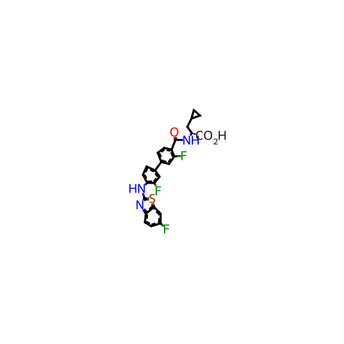 O=C(N[C@@H](CC1CC1)C(=O)O)c1ccc(-c2ccc(Nc3nc4ccc(F)cc4s3)c(F)c2)cc1F